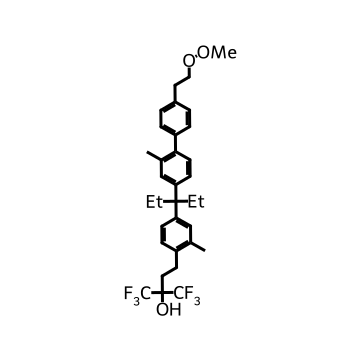 CCC(CC)(c1ccc(CCC(O)(C(F)(F)F)C(F)(F)F)c(C)c1)c1ccc(-c2ccc(CCOOC)cc2)c(C)c1